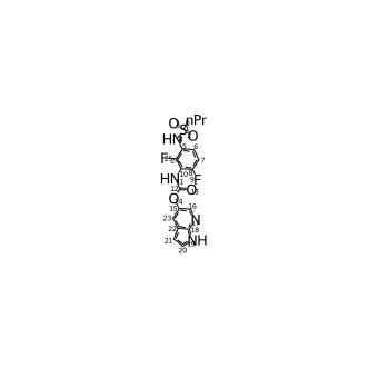 CCCS(=O)(=O)Nc1ccc(F)c(NC(=O)Oc2cnc3[nH]ccc3c2)c1F